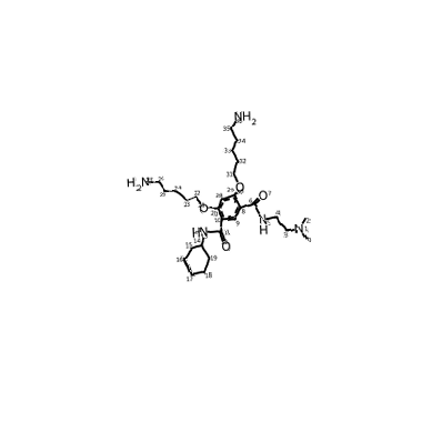 CN(C)CCNC(=O)c1cc(C(=O)NC2CCCCC2)c(OCCCCCN)cc1OCCCCCN